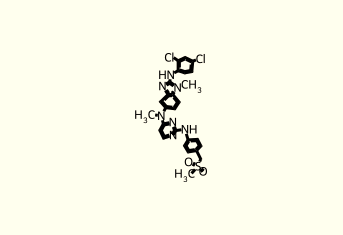 CN(c1ccc2c(c1)nc(Nc1ccc(Cl)cc1Cl)n2C)c1ccnc(Nc2ccc(CS(C)(=O)=O)cc2)n1